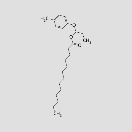 CCCCCCCCCCCCC(=O)OC(CC)Oc1ccc(C)cc1